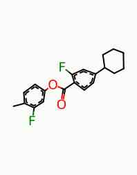 Cc1ccc(OC(=O)c2ccc(C3CCCCC3)cc2F)cc1F